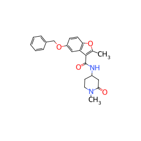 Cc1oc2ccc(OCc3ccccc3)cc2c1C(=O)NC1CCN(C)C(=O)C1